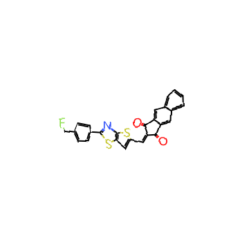 O=C1C(=Cc2cc3sc(-c4ccc(CF)cc4)nc3s2)C(=O)c2cc3ccccc3cc21